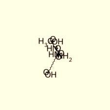 C[C@@H](CCCCNC(=O)CC[C@H](NC(=O)CCCCCCCCCCCCC(=O)O)C(N)=O)C(=O)O